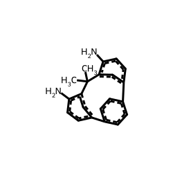 CC1(C)c2cc(ccc2N)-c2ccc(cc2)-c2ccc(N)c1c2